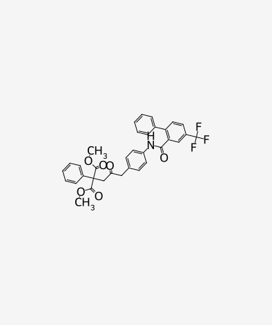 COC(=O)C(CC(=O)Cc1ccc(NC(=O)c2cc(C(F)(F)F)ccc2-c2ccccc2)cc1)(C(=O)OC)c1ccccc1